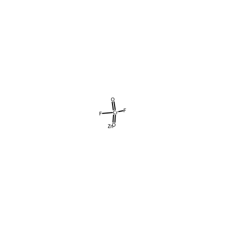 [O]=[Cr](=[O])([F])[F].[Zn]